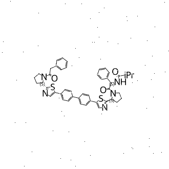 CC(C)C(=O)N[C@H](C(=O)N1CCC[C@H]1c1ncc(-c2ccc(-c3ccc(-c4cnc([C@@H]5CCCN5C(=O)Cc5ccccc5)s4)cc3)cc2)s1)c1ccccc1